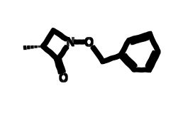 C[C@@H]1CN(OCc2ccccc2)C1=O